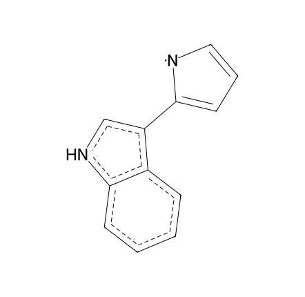 C1=C[N]C(c2c[nH]c3ccccc23)=C1